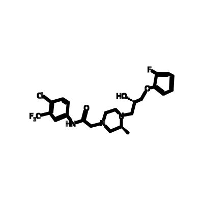 C[C@H]1CN(CC(=O)Nc2ccc(Cl)c(C(F)(F)F)c2)CCN1C[C@H](O)COc1ccccc1F